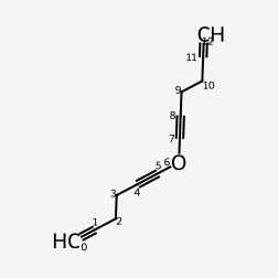 C#CCCC#COC#CCCC#C